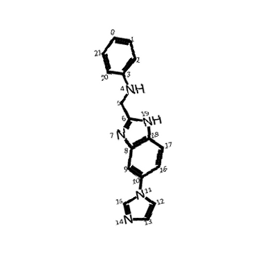 c1ccc(NCc2nc3cc(-n4ccnc4)ccc3[nH]2)cc1